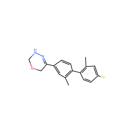 Cc1cc(F)ccc1-c1ccc(C2=NNCOC2)cc1C